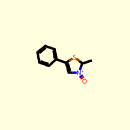 CC1SC(c2ccccc2)=C[N+]1=O